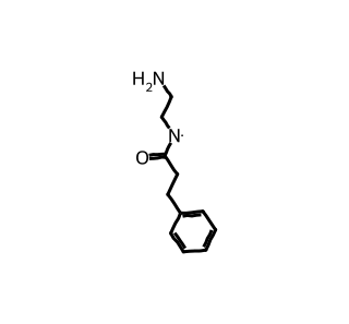 NCC[N]C(=O)CCc1ccccc1